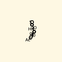 CC(=O)N1CCN(S(=O)(=O)c2cccc(NC(=O)c3ccc4c(c3)CCCS4)c2)CC1